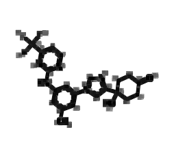 Cc1cc(Nc2nccc(C(F)(F)F)n2)cc(-n2cnc(C3(O)CCC(=O)CC3)c2)c1